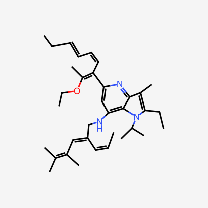 C/C=C\C(=C/C(C)=C(C)C)CNc1cc(C(/C=C\C=C\CC)=C(/C)OCC)nc2c(C)c(CC)n(C(C)C)c12